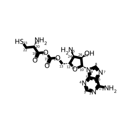 Nc1ncnc2c1ncn2[C@@H]1O[C@H](COC(=O)OC(=O)[C@@H](N)CS)[C@@H](N)[C@H]1O